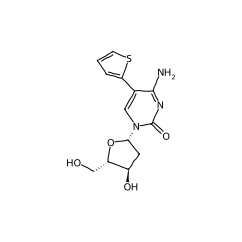 Nc1nc(=O)n([C@@H]2C[C@@H](O)[C@H](CO)O2)cc1-c1cccs1